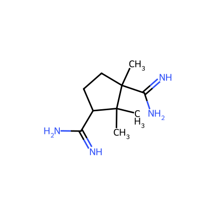 CC1(C(=N)N)CCC(C(=N)N)C1(C)C